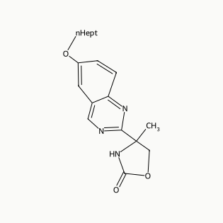 CCCCCCCOc1ccc2nc(C3(C)COC(=O)N3)ncc2c1